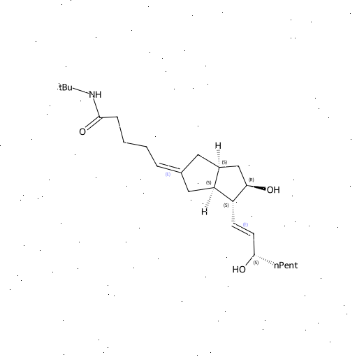 CCCCC[C@H](O)/C=C/[C@@H]1[C@H]2C/C(=C/CCCC(=O)NC(C)(C)C)C[C@H]2C[C@H]1O